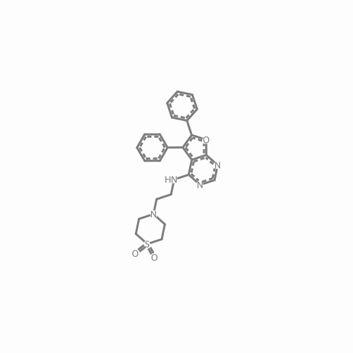 O=S1(=O)CCN(CCNc2ncnc3oc(-c4ccccc4)c(-c4ccccc4)c23)CC1